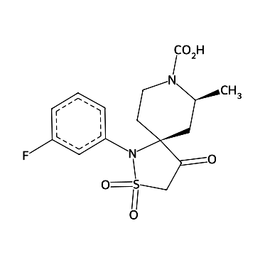 C[C@H]1C[C@@]2(CCN1C(=O)O)C(=O)CS(=O)(=O)N2c1cccc(F)c1